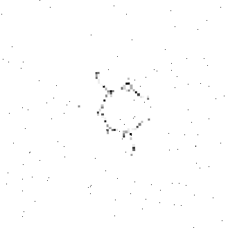 CC1CN(C)CCOC1C